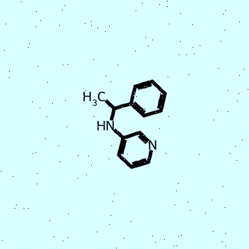 CC(Nc1cccnc1)c1ccccc1